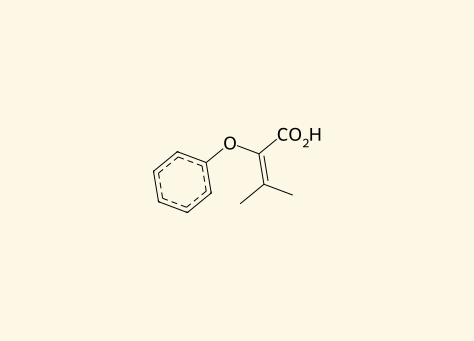 CC(C)=C(Oc1ccccc1)C(=O)O